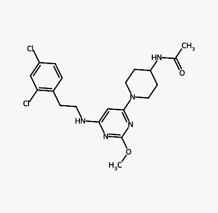 COc1nc(NCCc2ccc(Cl)cc2Cl)cc(N2CCC(NC(C)=O)CC2)n1